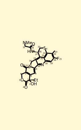 CC[C@@]1(O)C(=O)OCc2c1cc1n(c2=O)Cc2c-1nc1cc(F)c(C)c3c1c2[C@@H](NC(=O)CNC)CS3